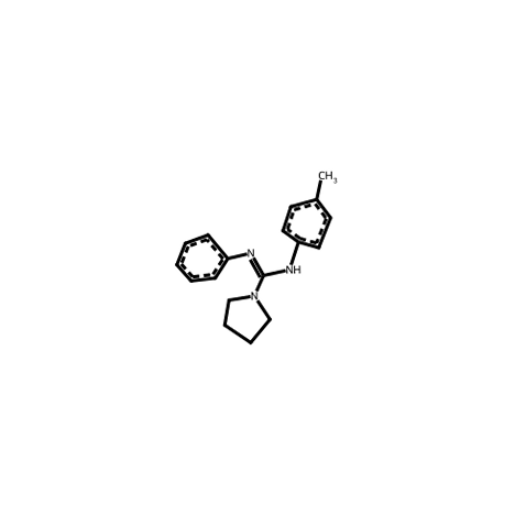 Cc1ccc(NC(=Nc2ccccc2)N2CCCC2)cc1